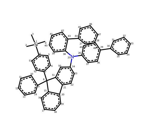 C[Si](C)(C)c1ccc(C2(c3ccccc3)c3ccccc3-c3ccc(N(c4ccc(-c5ccccc5)cc4)c4ccccc4-c4ccccc4)cc32)cc1